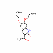 C=C(O)c1cc2cc(OCCOC)c(OCCOC)cc2[nH]c1=O